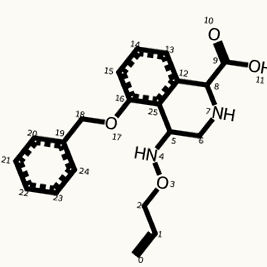 C=CCONC1CNC(C(=O)O)c2cccc(OCc3ccccc3)c21